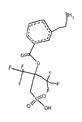 BCc1cccc(C(=O)OC(CS(=O)(=O)O)(C(F)(F)F)C(F)(F)F)c1